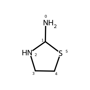 NC1NCCS1